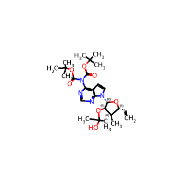 C=C[C@H]1O[C@@H](n2ccc3c(N(C(=O)OC(C)(C)C)C(=O)OC(C)(C)C)ncnc32)[C@H](OC(C)(C)O)[C@@H]1C